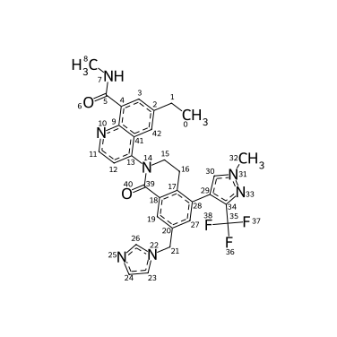 CCc1cc(C(=O)NC)c2nccc(N3CCc4c(cc(Cn5ccnc5)cc4-c4cn(C)nc4C(F)(F)F)C3=O)c2c1